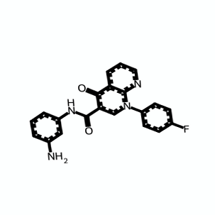 Nc1cccc(NC(=O)c2cn(-c3ccc(F)cc3)c3ncccc3c2=O)c1